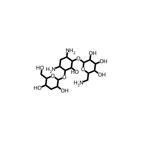 NCC1OC(OC2C(N)CC(N)C(OC3OC(CO)C(O)CC3O)C2O)C(O)C(O)C1O